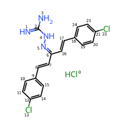 Cl.N=C(N)NN=C(C=Cc1ccc(Cl)cc1)C=Cc1ccc(Cl)cc1